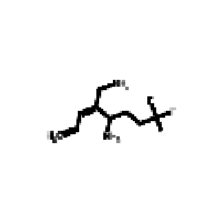 C=C/C=C(/CN)C(N)CCC(F)(F)F